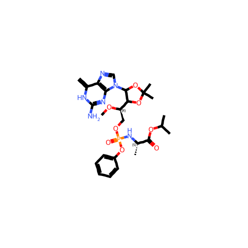 C=C1NC(N)=Nc2c1ncn2C1OC(C)(C)OC1[C@@H](COP(=O)(N[C@@H](C)C(=O)OC(C)C)Oc1ccccc1)OC